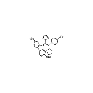 CC(C)c1ccc([C](C2CCCC2)=[Zr]([CH]2C=CC=C2)[CH]2c3cc(C(C)(C)C)ccc3-c3ccc(C(C)(C)C)cc32)cc1